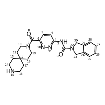 O=C(Nc1ccc(C(=O)N2CCC3(CCNCC3)CC2)nn1)N1Cc2ccccc2C1